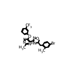 Cc1nnc(Oc2cccc(C(F)(F)F)c2)c(C2=NOCC(Cc3ccc(Br)cc3C)N2)n1